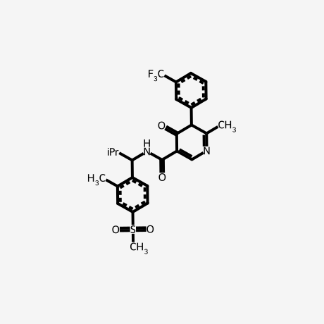 CC1=NC=C(C(=O)NC(c2ccc(S(C)(=O)=O)cc2C)C(C)C)C(=O)C1c1cccc(C(F)(F)F)c1